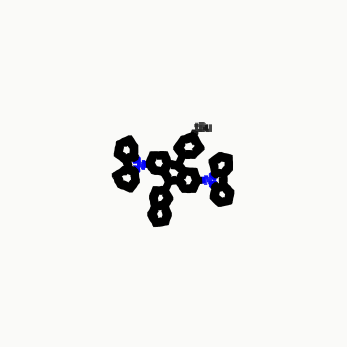 CC(C)(C)c1ccc(-c2c3ccc(-n4c5ccccc5c5ccccc54)cc3c(-c3ccc4ccccc4c3)c3ccc(-n4c5ccccc5c5ccccc54)cc23)cc1